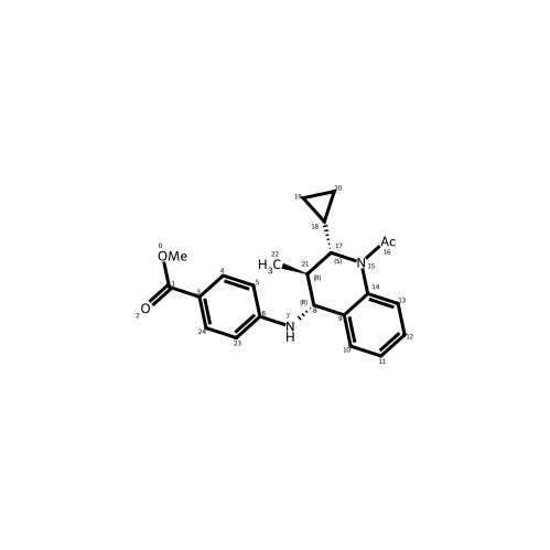 COC(=O)c1ccc(N[C@H]2c3ccccc3N(C(C)=O)[C@@H](C3CC3)[C@@H]2C)cc1